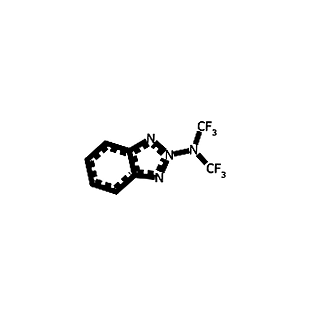 FC(F)(F)N(n1nc2ccccc2n1)C(F)(F)F